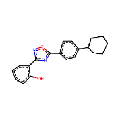 Oc1ccccc1-c1noc(-c2ccc(C3CCCCC3)cc2)n1